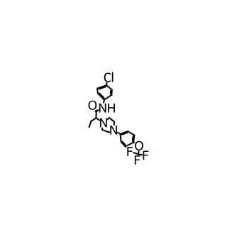 CCC(C(=O)Nc1ccc(Cl)cc1)N1CCN(c2ccc(OC(F)(F)F)cc2)CC1